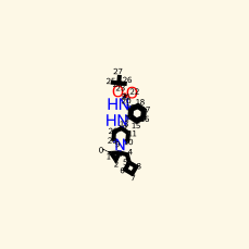 C[C@H]1CC1(CC1CCC1)N1CCC(Nc2ccccc2NC(=O)OC(C)(C)C)CC1